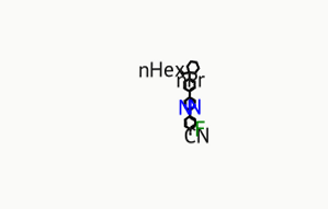 CCCCCCC(CCC)C1(c2ccc(-c3cnc(-c4ccc(C#N)c(F)c4)nc3)cc2)CCCCC1